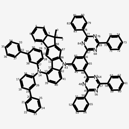 CC1(C)c2ccccc2-c2cc3c4c(N(c5cccc(-c6ccccc6)c5)c5cccc(-c6ccccc6)c5)cccc4n(-c4cc(-c5nc(-c6ccccc6)nc(-c6ccccc6)n5)cc(-c5nc(-c6ccccc6)nc(-c6ccccc6)n5)c4)c3cc21